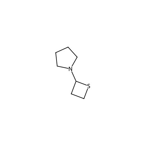 C1CCN(C2CCS2)C1